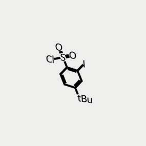 CC(C)(C)c1ccc(S(=O)(=O)Cl)c(I)c1